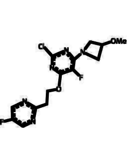 COC1CN(c2nc(Cl)nc(OCCc3ncc(F)cn3)c2F)C1